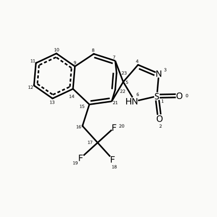 O=S1(=O)N=CC2(N1)C1=Cc3ccccc3C(CC(F)(F)F)=C2C=C1